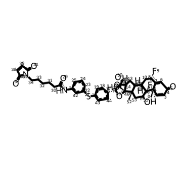 C[C@]12C=CC(=O)C=C1[C@@H](F)C[C@H]1[C@@H]3C[C@H]4O[C@@H](c5ccc(Sc6cccc(NC(=O)CCCCCN7C(=O)C=CC7=O)c6)cc5)O[C@@]4(C(O)C=O)[C@@]3(C)C[C@H](O)[C@@]12F